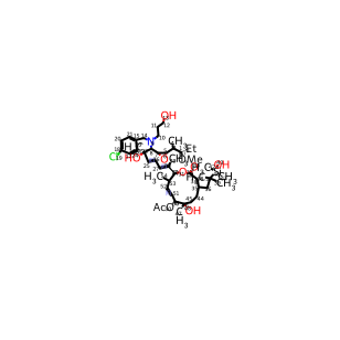 CC[C@H](OC)C(C)C1OC1C(N(CCCO)Cc1ccc(Cl)cc1)C(C)(O)/C=C/C=C(\C)[C@H]1OC(=O)CC(CC(C)(C)[Si](C)(C)O)CCC(C)(O)[C@@H](OC(C)=O)/C=C/C1C